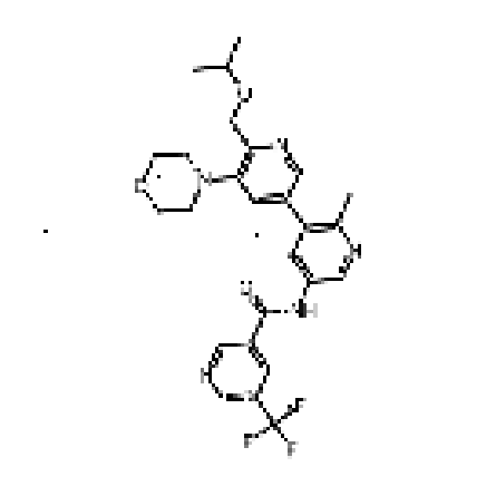 Cc1ncc(NC(=O)c2cncc(C(F)(F)F)c2)cc1-c1cnc(COC(C)C)c(N2CCOCC2)c1